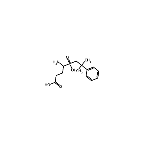 CC(C)(CP(=O)(O)C(N)CCC(=O)O)c1ccccc1